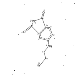 O=C1NC(=O)c2cc(NCCBr)ccc21